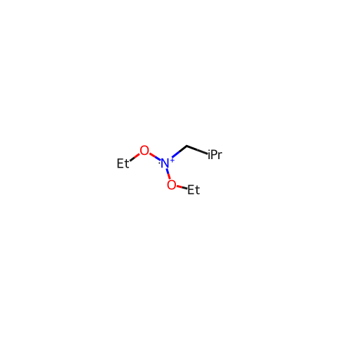 CCO[N+](CC(C)C)OCC